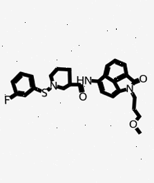 COCCCN1C(=O)c2cccc3c(NC(=O)C4CCCN(Sc5cccc(F)c5)C4)ccc1c23